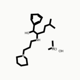 CC(C)CCC(NCCCN1CCCCC1)C(O)c1ccccc1.COC.Cl.Cl